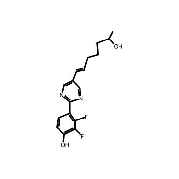 CC(O)CCC/C=C/c1cnc(-c2ccc(O)c(F)c2F)nc1